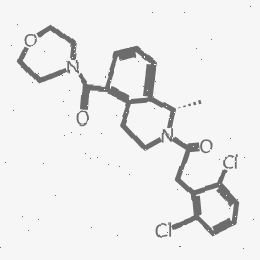 C[C@H]1c2cccc(C(=O)N3CCOCC3)c2CCN1C(=O)Cc1c(Cl)cccc1Cl